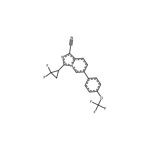 N#Cc1nc(C2CC2(F)F)n2cc(-c3ccc(OC(F)(F)F)cc3)ccc12